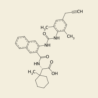 C#CCc1cc(C)c(NC(=O)Nc2cc3ccccc3cc2C(=O)N[C@H](C(=O)O)C2(C)CCCCC2)c(C)c1